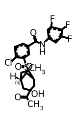 CC(=O)C1(O)CC2C(S(=O)(=O)c3cc(C(=O)Nc4cc(F)c(F)c(F)c4)ccc3Cl)[C@@H](C[C@@H]2C)C1